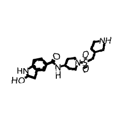 O=C(NC1CCN(S(=O)(=O)CC2CCNCC2)CC1)c1ccc2c(c1)CC(O)N2